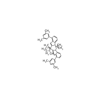 Cc1cc(C)cc(-c2cccc3c2C=C2[CH]3[Hf]([CH3])([CH3])[CH]3C(=Cc4c(-c5cc(C)cc(C)c5)cccc43)[Si]2(C(C)C)C(C)C)c1